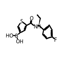 CC[C@H](NC(=O)c1cc(B(O)O)cs1)c1ccc(F)cc1